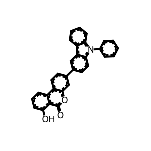 O=c1oc2cc(-c3ccc4c(c3)c3ccccc3n4-c3ccccc3)ccc2c2cccc(O)c12